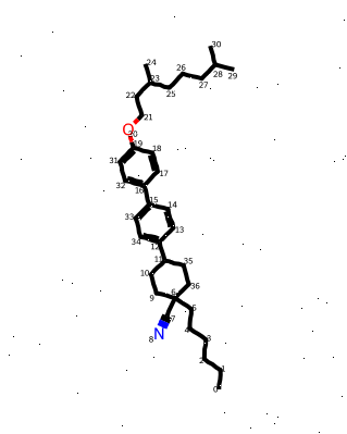 CCCCCCC1(C#N)CCC(c2ccc(-c3ccc(OCCC(C)CCCC(C)C)cc3)cc2)CC1